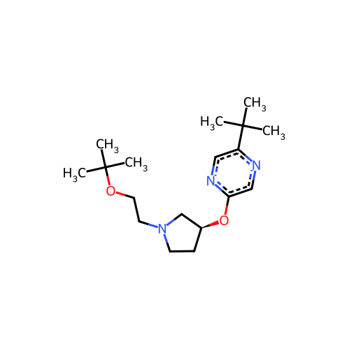 CC(C)(C)OCCN1CC[C@H](Oc2cnc(C(C)(C)C)cn2)C1